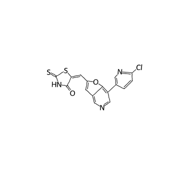 O=C1NC(=S)S/C1=C/c1cc2cncc(-c3ccc(Cl)nc3)c2o1